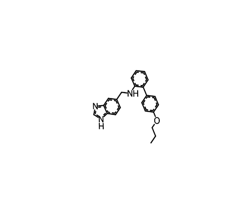 CCCOc1ccc(-c2ccccc2NCc2ccc3[nH]cnc3c2)cc1